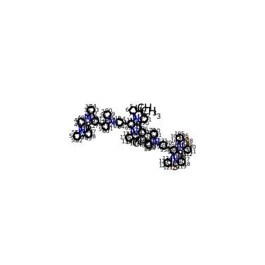 CC1(C)c2ccccc2N2c3cc(-c4ccc(-n5c6ccccc6c6c(-c7cc8c9c(c7)c7ccccc7n9-c7cccc9c7B8c7cccc8c%10ccccc%10n-9c78)cccc65)cc4)cc4c3B(c3cccc1c32)c1cc(-c2cccc3c2c2ccccc2n3-c2ccc(-c3cc5c6c(c3)N3c7ccccc7Sc7cccc(c73)B6c3cccc6c3N5c3ccccc3S6)cc2)cc2c1N4c1ccccc1C2(C)C